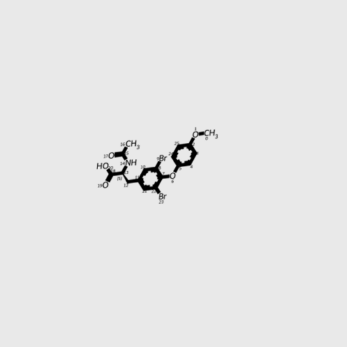 COc1ccc(Oc2c(Br)cc(C[C@H](NC(C)=O)C(=O)O)cc2Br)cc1